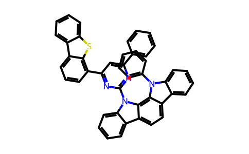 c1ccc(-c2cc(-c3cccc4c3sc3ccccc34)nc(-n3c4ccccc4c4ccc5c6ccccc6n(-c6ccccc6)c5c43)n2)cc1